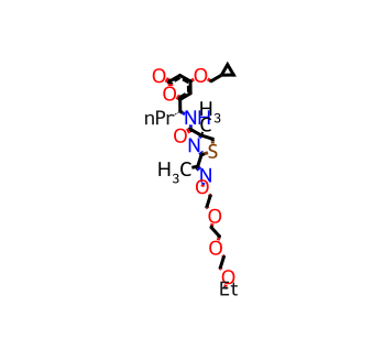 CCC[C@@H](NC(=O)[C@]1(C)CSC(/C(C)=N/OCCOCCOCCOCC)=N1)c1cc(OCC2CC2)cc(=O)o1